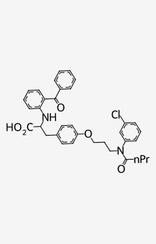 CCCC(=O)N(CCCOc1ccc(CC(Nc2ccccc2C(=O)c2ccccc2)C(=O)O)cc1)c1cccc(Cl)c1